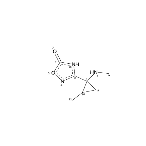 CNC1(c2noc(=O)[nH]2)CC1C